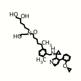 Cc1ccc(C(C)CCCC(=O)N(CCO)CCCCC(O)CO)cc1CNC1(c2cnccc2-c2ccccc2OC2CC2)CC1